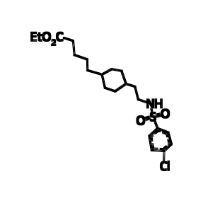 CCOC(=O)CCCCC1CCC(CCNS(=O)(=O)c2ccc(Cl)cc2)CC1